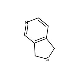 c1cc2c(cn1)CSC2